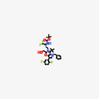 CC(C)(C)OC(=O)N[C@H](CCN(C(=O)CO)[C@@H](c1cc(-c2cc(F)ccc2F)cn1Cc1ccccc1)C(C)(C)C)C(F)F